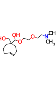 CN(C)CCOCCOC(O)C1(CO)CC/C=C/CCC1